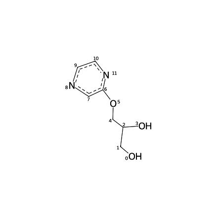 OCC(O)COc1cnccn1